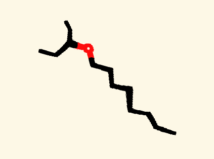 CCCCCCCCOC(C)CC